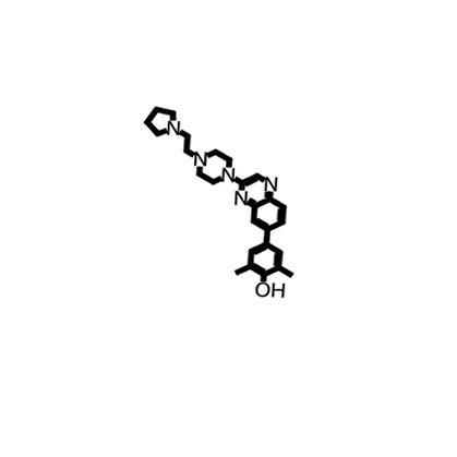 Cc1cc(-c2ccc3ncc(N4CCN(CCN5CCCC5)CC4)nc3c2)cc(C)c1O